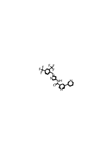 O=C(Nc1cnn(Cc2ccc(C(F)(F)F)cc2C(F)(F)F)c1)c1cncc(-c2cccnc2)c1